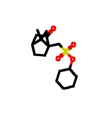 CC1(C)C2CCC1(CS(=O)(=O)OC1CCCCC1)C(=O)C2